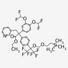 CCOC(=O)C(Cc1cccnc1)(c1ccc(C(OCOCC[Si](C)(C)C)(C(F)(F)F)C(F)(F)F)cc1)c1ccc(OC(F)F)c(OC(F)F)c1